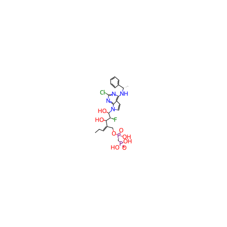 CC/C=C(/COP(=O)(O)CP(=O)(O)O)[C@@H](O)[C@H](F)[C@@H](O)n1ccc2c(N[C@@H](C)c3ccccc3)nc(Cl)nc21